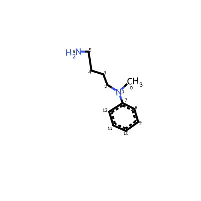 CN(CCCCN)c1ccccc1